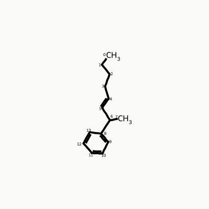 CCCC/C=C/C(C)c1ccccc1